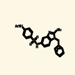 CC(=O)Nc1ccc(S(=O)(=O)Nc2ccc3c(c2)nc(C(C)(C)C)n3CC2CC3C=CC2C3)cc1